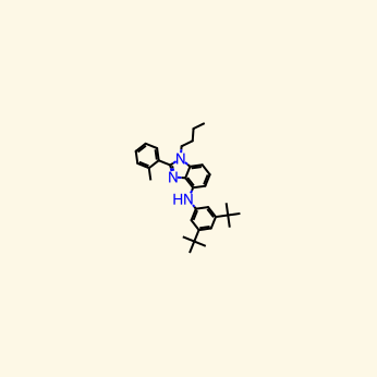 CCCCn1c(-c2ccccc2C)nc2c(Nc3cc(C(C)(C)C)cc(C(C)(C)C)c3)cccc21